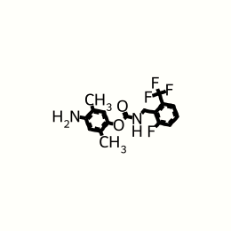 Cc1cc(OC(=O)NCc2c(F)cccc2C(F)(F)F)c(C)cc1N